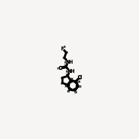 O=C(NCCF)NC1CCc2cccc(Cl)c21